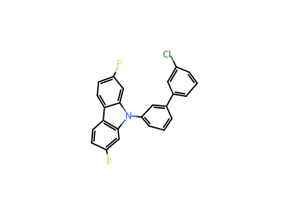 Fc1ccc2c3ccc(F)cc3n(-c3cccc(-c4cccc(Cl)c4)c3)c2c1